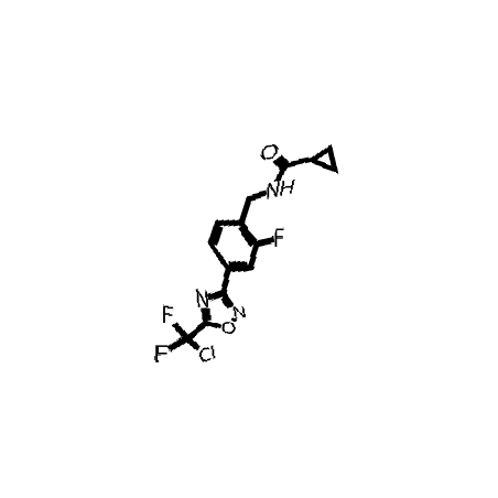 O=C(NCc1ccc(-c2noc(C(F)(F)Cl)n2)cc1F)C1CC1